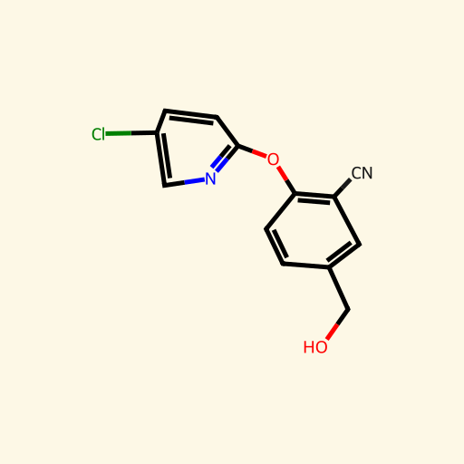 N#Cc1cc(CO)ccc1Oc1ccc(Cl)cn1